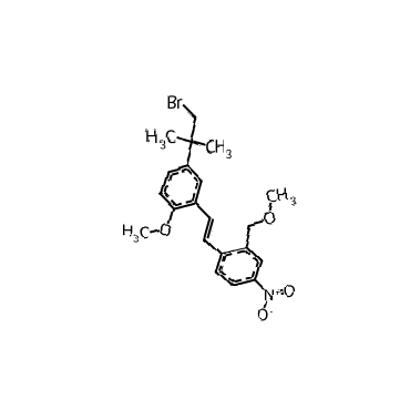 COCc1cc([N+](=O)[O-])ccc1C=Cc1cc(C(C)(C)CBr)ccc1OC